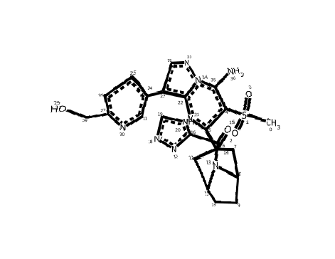 CS(=O)(=O)c1c(C2CC3CCC(C2)N3C(=O)c2nnc[nH]2)nc2c(-c3ccc(CO)nc3)cnn2c1N